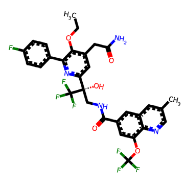 CCOc1c(CC(N)=O)cc([C@@](O)(CNC(=O)c2cc(OC(F)(F)F)c3ncc(C)cc3c2)C(F)(F)F)nc1-c1ccc(F)cc1